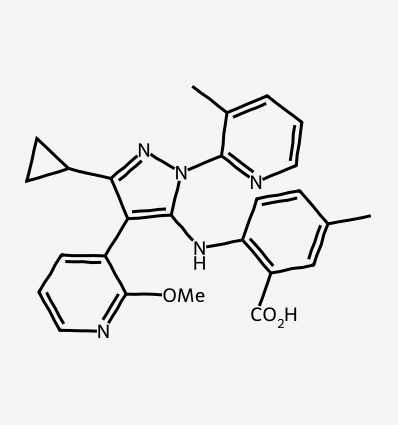 COc1ncccc1-c1c(C2CC2)nn(-c2ncccc2C)c1Nc1ccc(C)cc1C(=O)O